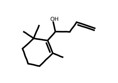 C=CCC(O)C1=C(C)CCCC1(C)C